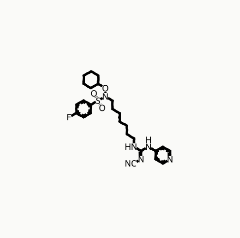 N#C/N=C(\NCCCCCCCN(OC1CCCCC1)S(=O)(=O)c1ccc(F)cc1)Nc1ccncc1